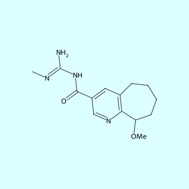 CN=C(N)NC(=O)c1cnc2c(c1)CCCCC2OC